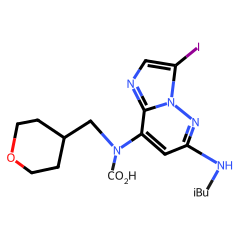 CCC(C)Nc1cc(N(CC2CCOCC2)C(=O)O)c2ncc(I)n2n1